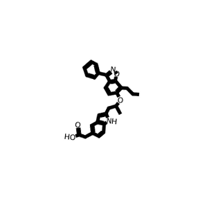 CCCc1c(OC(C)Cc2cc3cc(CC(=O)O)ccc3[nH]2)ccc2c(-c3ccccc3)noc12